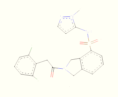 C[C@H]1c2cccc(S(=O)(=O)Nc3ccnn3C)c2CN1C(=O)Cc1c(Cl)cccc1Cl